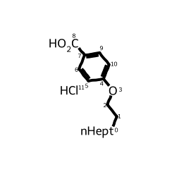 CCCCCCCCCOc1ccc(C(=O)O)cc1.Cl